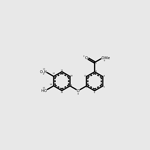 COC(=O)c1cccc(Oc2ccc([N+](=O)[O-])c(O)c2)c1